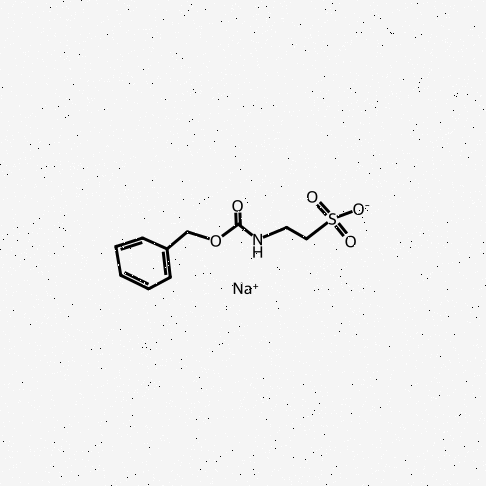 O=C(NCCS(=O)(=O)[O-])OCc1ccccc1.[Na+]